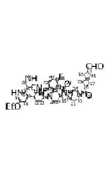 CCOC1=CN/C(=C(/C#N)C=N)C(c2ccc(N3CCC(CN4CCN(C(=O)C5CC6(CC(C=O)C6)C5)CC4)(NC(=O)c4cc(F)ccc4F)CC3)nc2)=C1